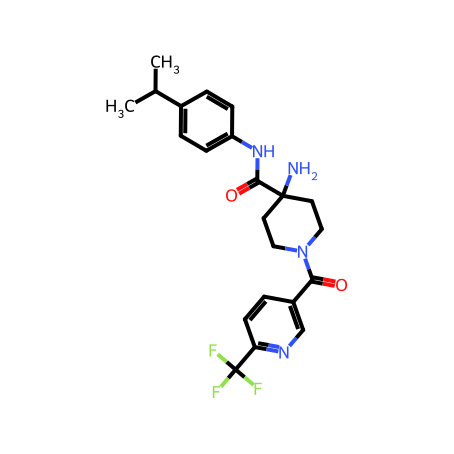 CC(C)c1ccc(NC(=O)C2(N)CCN(C(=O)c3ccc(C(F)(F)F)nc3)CC2)cc1